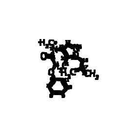 [CH2]N(C(=O)COc1ccccc1)c1cnn(CC(C)C)c1C